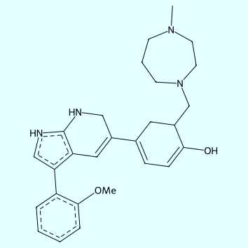 COc1ccccc1-c1c[nH]c2c1C=C(C1=CC=C(O)C(CN3CCCN(C)CC3)C1)CN2